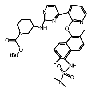 Cc1ccc2c(NS(=O)(=O)N(C)C)c(F)ccc2c1Oc1ncccc1-c1ccnc(NC2CCCN(C(=O)OC(C)(C)C)C2)n1